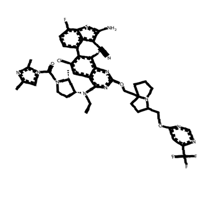 CCN(c1nc(OCC23CCCN2C(COc2cc(C(F)(F)F)ncn2)CC3)nc2c(F)c(-c3ccc(F)c4sc(N)c(C#N)c34)c(Cl)cc12)[C@@H]1CCN(C(=O)n2cc(C)nc2C)[C@@H]1C